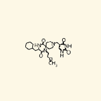 COCCN1C(=O)C(CC2CCCCC2)NC(=O)C12CCN(Cc1c[nH]c(=O)[nH]c1=O)CC2